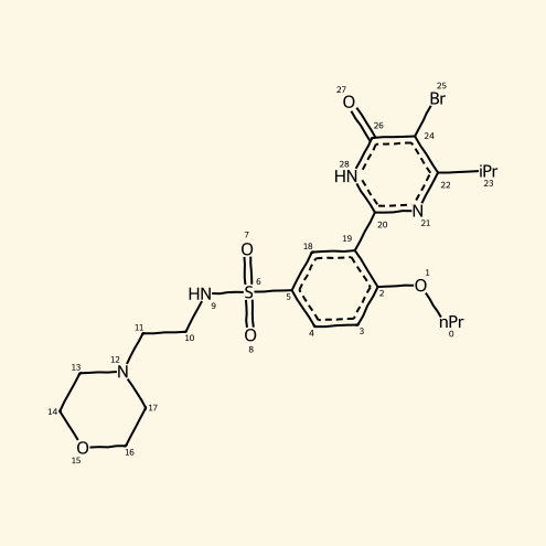 CCCOc1ccc(S(=O)(=O)NCCN2CCOCC2)cc1-c1nc(C(C)C)c(Br)c(=O)[nH]1